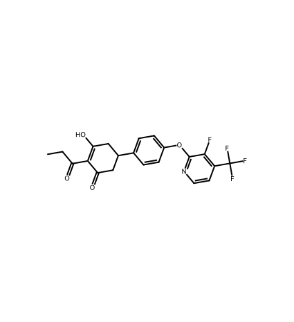 CCC(=O)C1=C(O)CC(c2ccc(Oc3nccc(C(F)(F)F)c3F)cc2)CC1=O